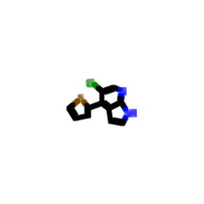 Clc1cnc2[nH]ccc2c1-c1cccs1